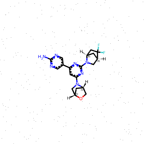 Nc1ncc(-c2cc(N3C[C@@H]4C[C@H]3CO4)nc(N3C[C@H]4C[C@@H]3CC4(F)F)n2)cn1